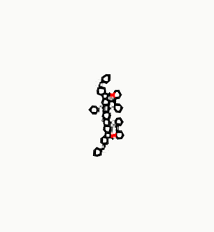 CC1(C)c2cc(Oc3ccccc3)ccc2-c2cc3c4c(c21)N(c1ccccc1)c1ccccc1B4c1cc2c(cc1S3)N(c1ccccc1)c1cc3c(c4c1B2c1ccccc1N4c1ccccc1)C(C)(C)c1cc(Oc2ccccc2)ccc1-3